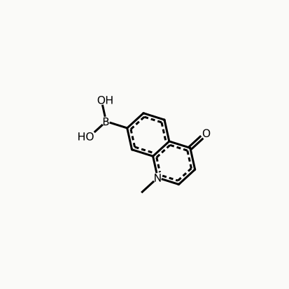 Cn1ccc(=O)c2ccc(B(O)O)cc21